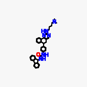 CN(C)CCCCNc1ncc2c(n1)-c1ccccc1C(c1ccc(NC(=O)NC3c4ccccc4-c4ccccc43)cc1)C2